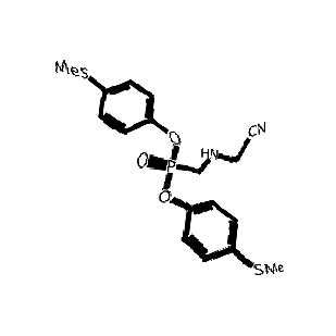 CSc1ccc(OP(=O)(CNCC#N)Oc2ccc(SC)cc2)cc1